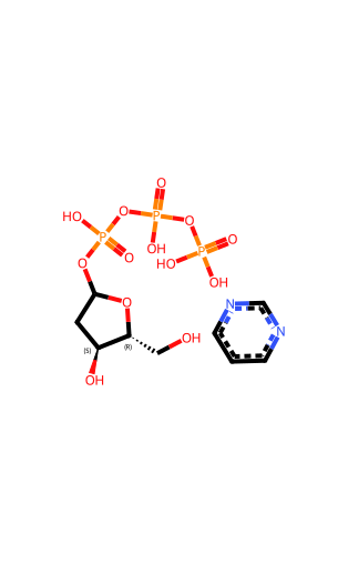 O=P(O)(O)OP(=O)(O)OP(=O)(O)OC1C[C@H](O)[C@@H](CO)O1.c1cncnc1